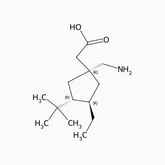 CC[C@@H]1C[C@](CN)(CC(=O)O)C[C@H]1C(C)(C)C